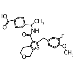 COc1ccc(Cc2sc3c(c2C(=O)NC(C)c2ccc(C(=O)O)cc2)CCOC3)cc1F